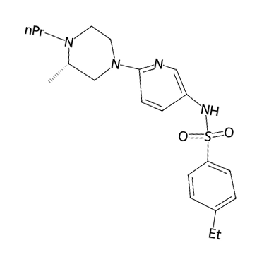 CCCN1CCN(c2ccc(NS(=O)(=O)c3ccc(CC)cc3)cn2)C[C@@H]1C